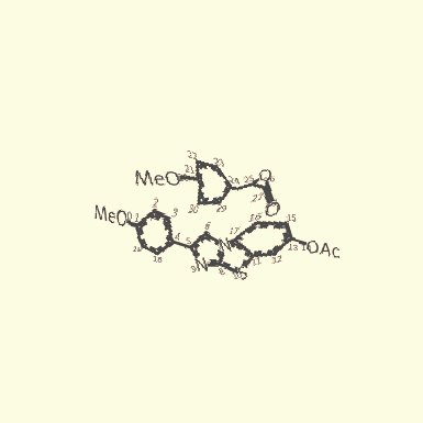 COc1ccc(-c2cn3c(n2)sc2cc(OC(C)=O)ccc23)cc1.COc1ccc(C2OC2=O)cc1